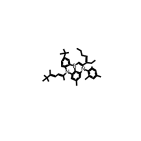 CCC/C=C(/CC)C1=CB2c3cc(C(C)(C)C)ccc3N(/C(C)=C/C=C(\C)C(C)(C)C)c3cc(C)cc(c32)N1c1c(C)cc(C)cc1C